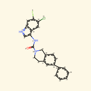 O=C(Nc1c[nH]c2cc(F)c(Cl)cc12)N1CCc2cc(-c3ccccc3)ccc2C1